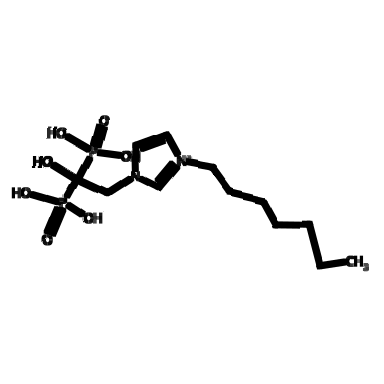 CCCCCCC[n+]1ccn(CC(O)(P(=O)(O)O)P(=O)(O)O)c1